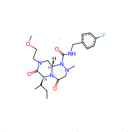 CCC(C)[C@H]1C(=O)N(CCOC)C[C@H]2N1C(=O)CN(C)N2C(=O)NCc1ccc(F)cc1